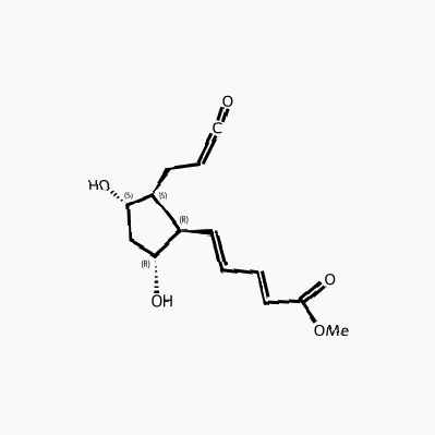 COC(=O)C=CC=C[C@@H]1[C@H](CC=C=O)[C@@H](O)C[C@H]1O